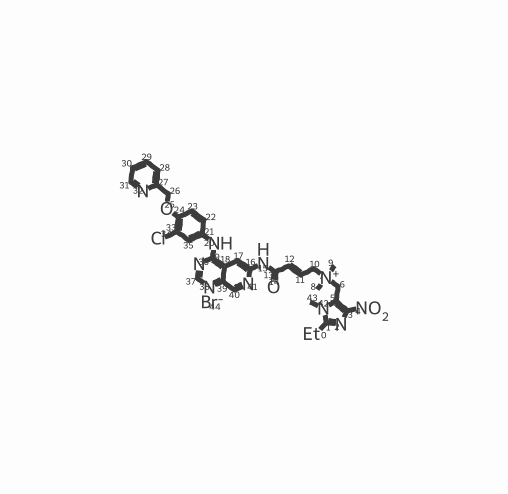 CCc1nc([N+](=O)[O-])c(C[N+](C)(C)C/C=C/C(=O)Nc2cc3c(Nc4ccc(OCc5ccccn5)c(Cl)c4)ncnc3cn2)n1C.[Br-]